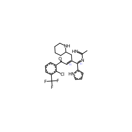 CC(=N)/N=C(\C(=C\C(=O)c1cccc(C(F)(F)F)c1Cl)CC1CCCCN1)c1ccc[nH]1